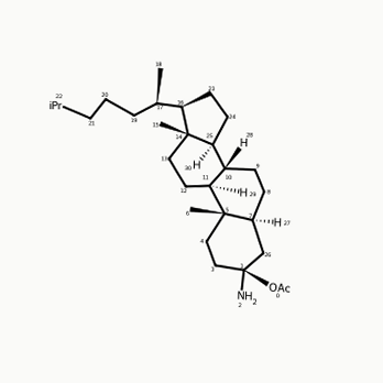 CC(=O)O[C@@]1(N)CC[C@@]2(C)[C@@H](CC[C@@H]3[C@@H]2CC[C@]2(C)[C@@H]([C@H](C)CCCC(C)C)CC[C@@H]32)C1